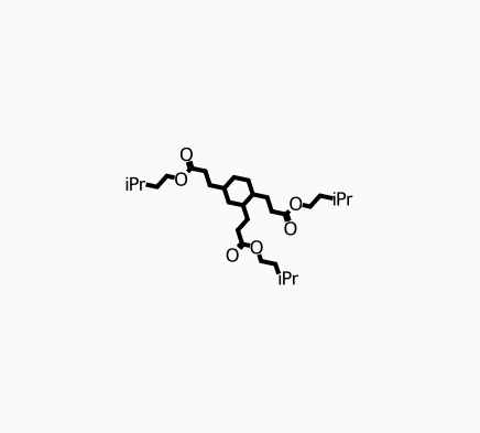 CC(C)CCOC(=O)CCC1CCC(CCC(=O)OCCC(C)C)C(CCC(=O)OCCC(C)C)C1